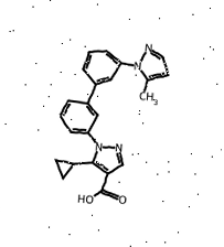 Cc1ccnn1-c1cccc(-c2cccc(-n3ncc(C(=O)O)c3C3CC3)c2)c1